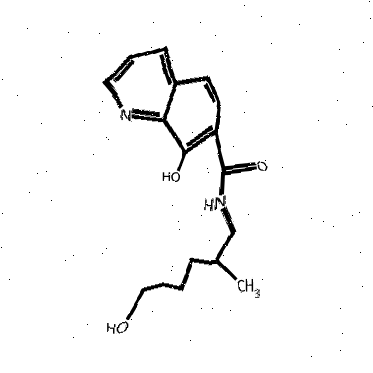 CC(CCCO)CNC(=O)c1ccc2cccnc2c1O